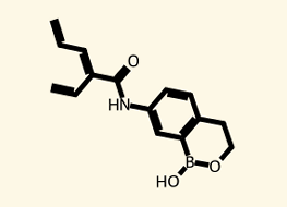 C=C/C=C(\C=C)C(=O)Nc1ccc2c(c1)B(O)OCC2